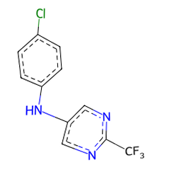 FC(F)(F)c1ncc(Nc2ccc(Cl)cc2)cn1